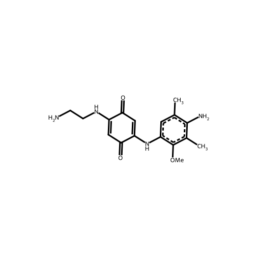 COc1c(NC2=CC(=O)C(NCCN)=CC2=O)cc(C)c(N)c1C